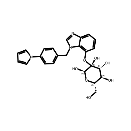 OC[C@@H]1O[C@@H](O)[C@](O)(Oc2cccc3ncn(Cc4ccc(-n5cccc5)cc4)c23)[C@H](O)[C@H]1O